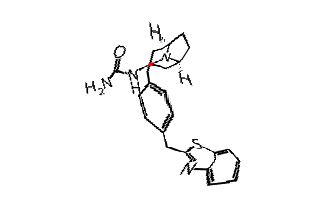 NC(=O)N[C@H]1C[C@H]2CC[C@@H](C1)N2Cc1ccc(Cc2nc3ccccc3s2)cc1